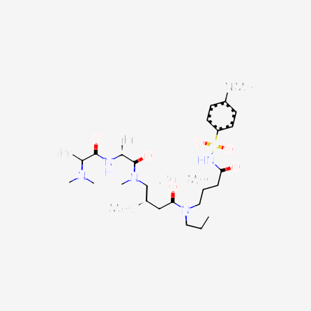 CC[C@H](C)C([C@@H](CC(=O)N1CCC[C@H]1[C@H](OC)[C@@H](C)C(=O)NS(=O)(=O)c1ccc(NC)cc1)OC)N(C)C(=O)[C@@H](NC(=O)C(C(C)C)N(C)C)C(C)C